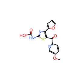 COc1ccc(C(=O)c2sc(NC(=O)O)nc2-c2ccco2)nc1